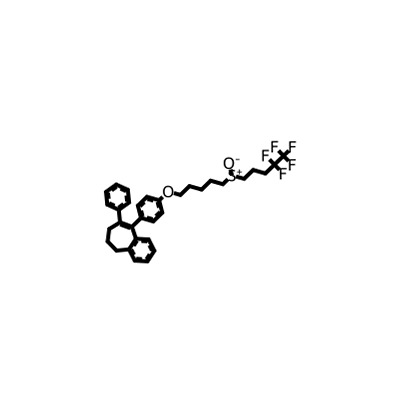 [O-][S+](CCCCCOc1ccc(C2=C(c3ccccc3)CCCc3ccccc32)cc1)CCCC(F)(F)C(F)(F)F